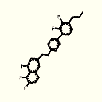 CCCc1ccc(-c2ccc(CCc3cc(F)c4c(F)c(F)ccc4c3)cc2)c(F)c1F